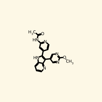 COc1ncc(-c2c(-c3ccnc(NC(C)=O)c3)[nH]c3cccnc23)cn1